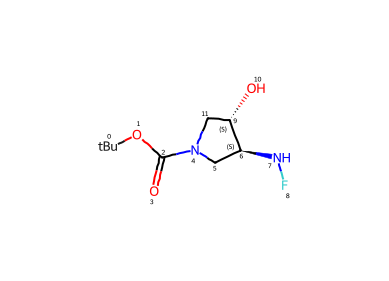 CC(C)(C)OC(=O)N1C[C@H](NF)[C@@H](O)C1